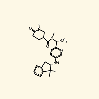 CN1CC(C(=O)N(C)[C@@H](c2ccc(N[C@H]3Cc4ccccc4C3(C)C)cn2)C(F)(F)F)CCC1=O